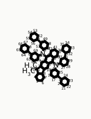 CC1(C)c2ccccc2-c2cc3c(N(c4cccc(-c5ccccc5)c4)c4cccc(-c5ccccc5)c4)c4ccccc4c(N(c4cccc(-c5ccccc5)c4)c4cccc(-c5ccccc5)c4)c3cc21